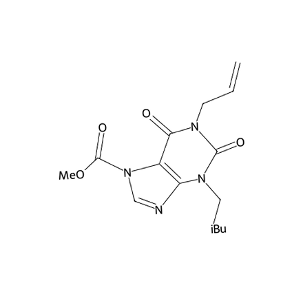 C=CCn1c(=O)c2c(ncn2C(=O)OC)n(CC(C)CC)c1=O